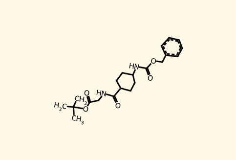 CC(C)(C)OC(=O)CNC(=O)C1CCC(NC(=O)OCc2ccccc2)CC1